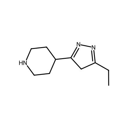 CCC1=NN=C(C2CCNCC2)C1